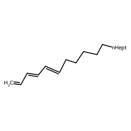 C=C/C=C/C=C/CCCCCCC[CH]CCCC